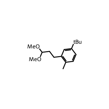 COC(CCc1cc(C(C)(C)C)ccc1C)OC